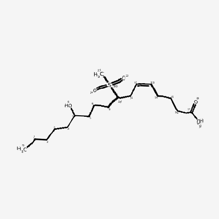 CCCCCC(O)CCCC(C/C=C\CCCC(=O)O)S(C)(=O)=O